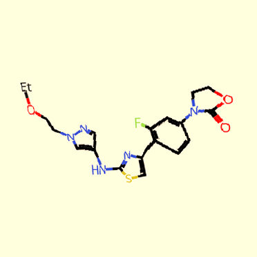 CCOCCn1cc(Nc2nc(-c3ccc(N4CCOC4=O)cc3F)cs2)cn1